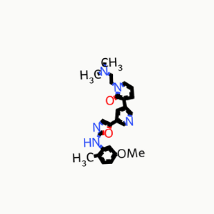 COc1ccc(C)c(Nc2ncc(-c3cncc(-c4cccn(CCN(C)C)c4=O)c3)o2)c1